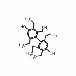 CCc1cc(O)c(CC)c(CC)c1-c1c(CC)cc(O)c(CC)c1CC